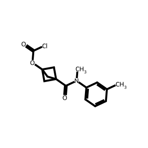 Cc1cccc(N(C)C(=O)C23CC(OC(=O)Cl)(C2)C3)c1